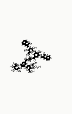 CCC[C@H](OC1C(NC(C)=O)[C@H](O[C@@H]2CC(C(=O)NCCNC(=O)C3CC(OCc4cc5ccccc5oc4=O)C(O)[C@H](O[C@@H]4OC(CO)[C@H](O)C(OCc5cc6ccccc6oc5=O)C4O)C3)CC(NC(C)=O)C2O[C@@H]2OC(C)[C@@H](O)C(O)C2O)OC(CO)[C@@H]1O)C(=O)O